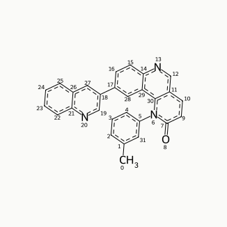 Cc1cccc(-n2c(=O)ccc3cnc4ccc(-c5cnc6ccccc6c5)cc4c32)c1